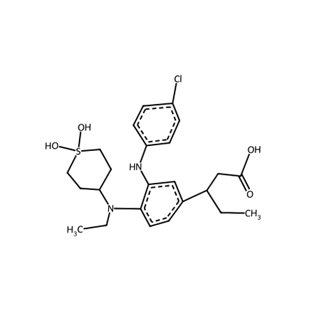 CCC(CC(=O)O)c1ccc(N(CC)C2CCS(O)(O)CC2)c(Nc2ccc(Cl)cc2)c1